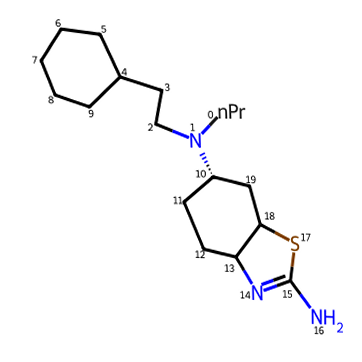 CCCN(CCC1CCCCC1)[C@H]1CCC2N=C(N)SC2C1